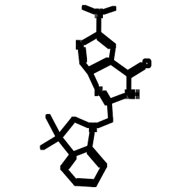 CN(C)c1cc2c(=O)[nH]c(CN3CC(C)(C)c4ccccc43)nc2cn1